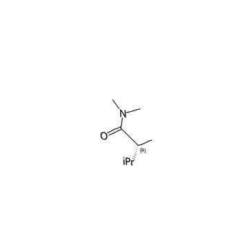 CC(C)[C@@H](C)C(=O)N(C)C